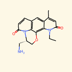 CCn1c(=O)cc(C)c2cc3ccc(=O)n4c3c(c21)OC[C@@H]4CN